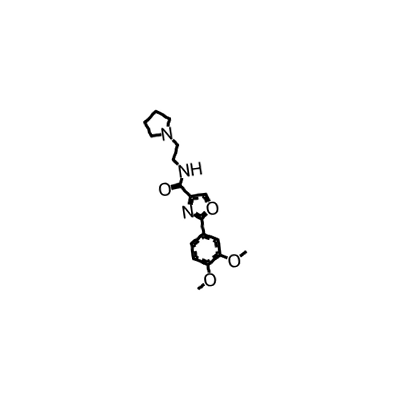 COc1ccc(-c2nc(C(=O)NCCN3CCCC3)co2)cc1OC